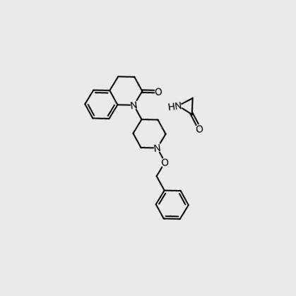 O=C1CCc2ccccc2N1C1CCN(OCc2ccccc2)CC1.O=C1CN1